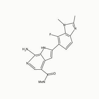 CNC(=O)c1cnc(N)c2[nH]c(-c3ccc4nc(C)n(C)c4c3F)cc12